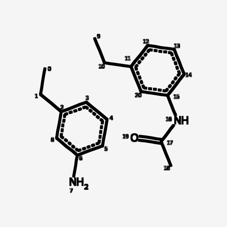 CCc1cccc(N)c1.CCc1cccc(NC(C)=O)c1